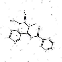 C/C=C(\CNC)N(C)/C(=N\C(=N)c1ccccc1)c1ccccc1